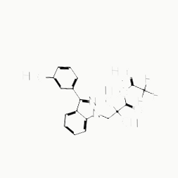 C=C(OC(=O)C(C)(C)Cn1nc(-c2cccc(C)c2)c2ccccc21)C(F)(F)F